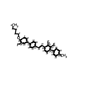 CCCCCOc1ccc(-c2ccc(/C=C/c3ccc(-c4ccc(C)cc4)c(F)c3F)cc2)cc1F